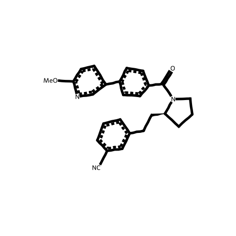 COc1ccc(-c2ccc(C(=O)N3CCC[C@H]3CCc3cccc(C#N)c3)cc2)cn1